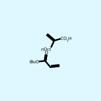 C=C(CCCCCCCC)C(=O)O.C=CC(=O)OCC(C)C